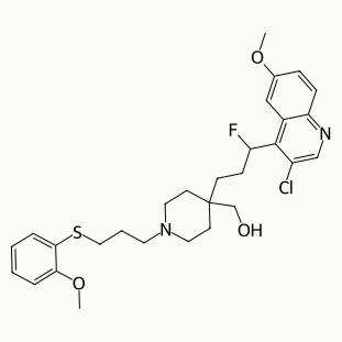 COc1ccc2ncc(Cl)c(C(F)CCC3(CO)CCN(CCCSc4ccccc4OC)CC3)c2c1